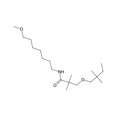 CCC(C)(C)COCC(C)(C)C(=O)NCCCCCCCOC